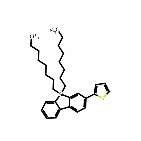 CCCCCCCC[Si]1(CCCCCCCC)c2c[c]ccc2-c2ccc(-c3cc[c]s3)cc21